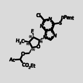 CCCCCSc1nc(Cl)nc2c1ncn2[C@@H]1O[C@H](COC(C(C)=O)C(=O)OCC)[C@@H](C)[C@@H]1F